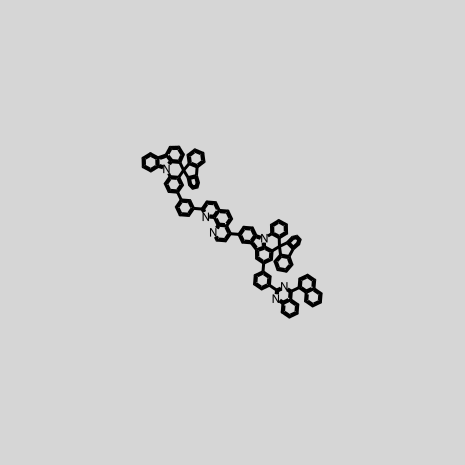 c1cc(-c2ccc3c(c2)C2(c4ccccc4-c4ccccc42)c2cccc4c5ccccc5n-3c24)cc(-c2ccc3ccc4c(-c5ccc6c(c5)c5cc(-c7cccc(-c8nc(-c9cccc%10ccccc9%10)c9ccccc9n8)c7)cc7c5n6-c5ccccc5C75c6ccccc6-c6ccccc65)ccnc4c3n2)c1